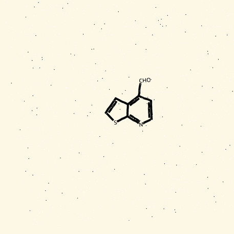 O=[C]c1ccnc2sccc12